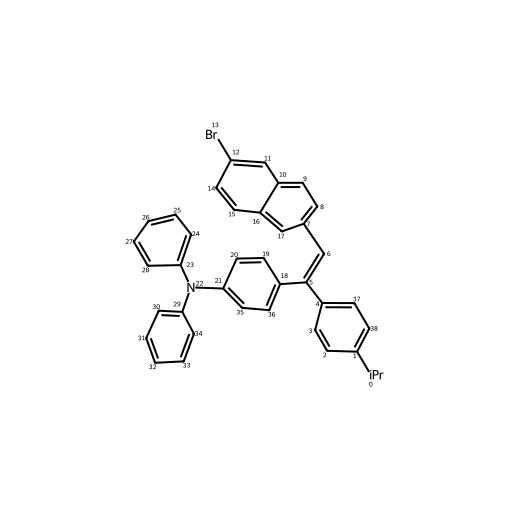 CC(C)c1ccc(C(=Cc2ccc3cc(Br)ccc3c2)c2ccc(N(c3ccccc3)c3ccccc3)cc2)cc1